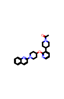 CC(=O)N1CCC(c2cccnc2OC2CCN(c3ccc4ccccc4n3)CC2)CC1